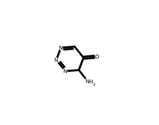 NC1N=NN=CC1=O